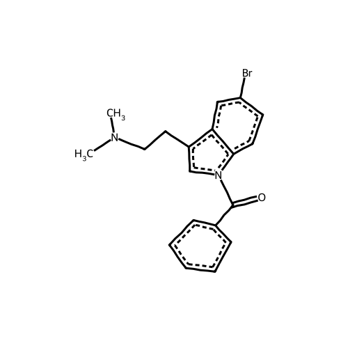 CN(C)CCc1cn(C(=O)c2ccccc2)c2ccc(Br)cc12